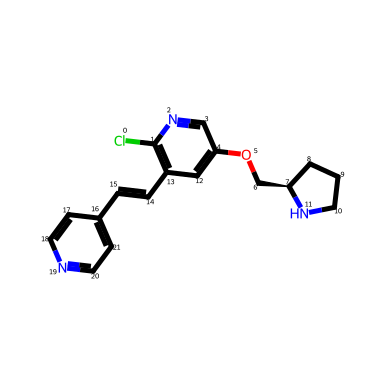 Clc1ncc(OC[C@H]2CCCN2)cc1C=Cc1ccncc1